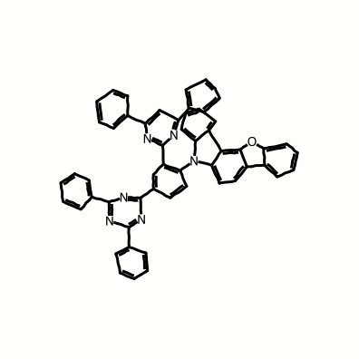 c1ccc(-c2cc(-c3ccccc3)nc(-c3cc(-c4nc(-c5ccccc5)nc(-c5ccccc5)n4)ccc3-n3c4ccccc4c4c5oc6ccccc6c5ccc43)n2)cc1